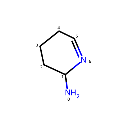 NC1CCCC=N1